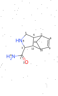 NC(=O)C1NCC2C3C=CC(C3)C12